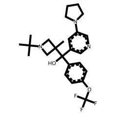 CC(C)(C)N1CC(C)(C(O)(c2ccc(OC(F)(F)F)cc2)c2cncc(N3CCCC3)c2)C1